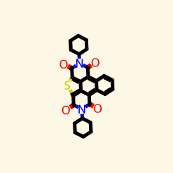 O=C1c2sc3c4c(c5ccccc5c(c24)C(=O)N1C1CCCCC1)C(=O)N(C1CCCCC1)C3=O